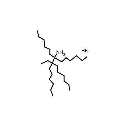 Br.CCCCCCC(N)(CCCCCC)C(CC)(CCCCCC)CCCCCC